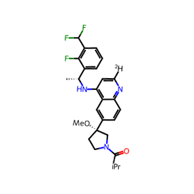 [2H]c1cc(N[C@H](C)c2cccc(C(F)F)c2F)c2cc([C@]3(OC)CCN(C(=O)C(C)C)C3)ccc2n1